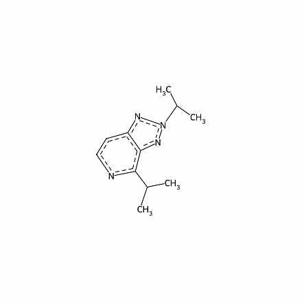 CC(C)c1nccc2nn(C(C)C)nc12